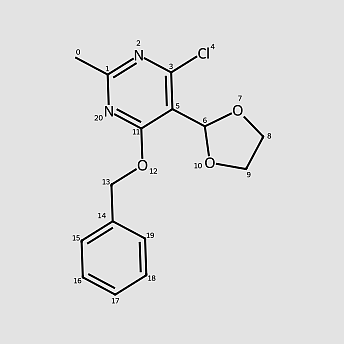 Cc1nc(Cl)c(C2OCCO2)c(OCc2ccccc2)n1